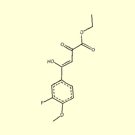 CCOC(=O)C(=O)/C=C(\O)c1ccc(OC)c(F)c1